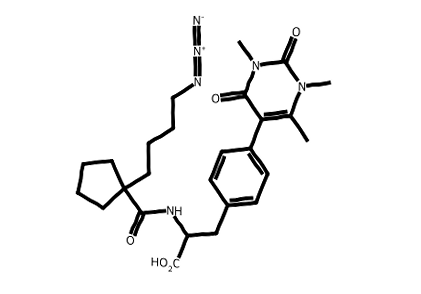 Cc1c(-c2ccc(CC(NC(=O)C3(CCCCN=[N+]=[N-])CCCC3)C(=O)O)cc2)c(=O)n(C)c(=O)n1C